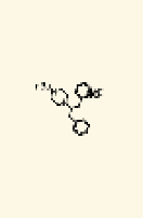 CCCCN1CCN(C(Cc2ccccc2)Cc2ccccc2)CC1.Cl.Cl